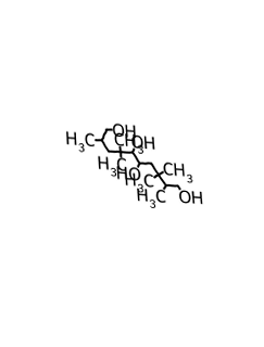 CC(CO)CC(C)(C)C(O)C(O)CC(C)(C)C(C)CO